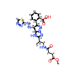 COC(=O)CCC(=O)NCC(C)c1nn2nc(-c3ccccc3C(=O)O)c(N=Nc3nncs3)c2[nH]1